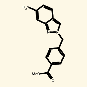 COC(=O)c1ccc(Cn2cc3ccc([N+](=O)[O-])cc3n2)cc1